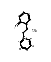 O=C1C=CC=CC1CC[n+]1ccccc1.[Cl-]